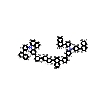 c1cc(-c2ccc(N(c3cccc(-c4cccc5ccccc45)c3)c3cccc4ccccc34)cc2)cc(-c2ccc3cc(-c4ccc(-c5cccc(-c6ccc(N(c7ccc(-c8cccc9ccccc89)cc7)c7cccc(-c8cccc9ccccc89)c7)cc6)c5)c5ccccc45)ccc3c2)c1